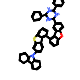 C1=Cc2c(c3ccccc3n2-c2ccc3c(c2)sc2cccc(-c4cccc5oc6ccc(C7NC(c8ccccc8)NC(c8ccccc8)N7)cc6c45)c23)CC1